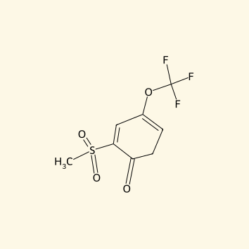 CS(=O)(=O)C1=CC(OC(F)(F)F)=CCC1=O